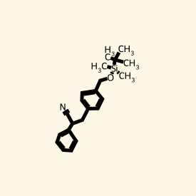 CC(C)(C)[Si](C)(C)OCc1ccc(CC(C#N)c2ccccc2)cc1